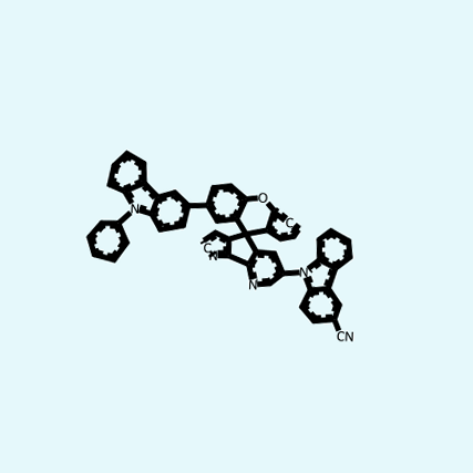 N#Cc1ccc2c(c1)c1ccccc1n2-c1cnc2c(c1)C1(c3ccccc3Oc3ccc(-c4ccc5c(c4)c4ccccc4n5-c4ccccc4)cc31)c1cccnc1-2